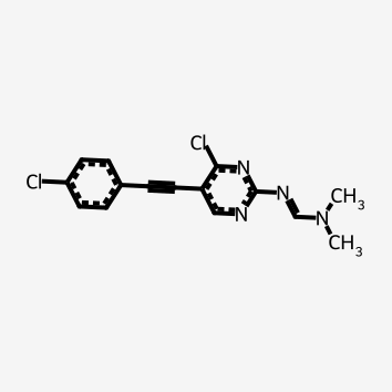 CN(C)C=Nc1ncc(C#Cc2ccc(Cl)cc2)c(Cl)n1